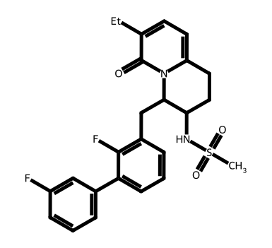 CCc1ccc2n(c1=O)C(Cc1cccc(-c3cccc(F)c3)c1F)C(NS(C)(=O)=O)CC2